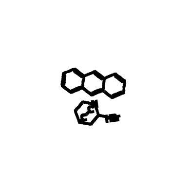 Br.CC1CC2CCN1CC2.c1ccc2cc3ccccc3cc2c1